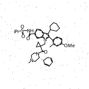 COc1ccc(-c2c(C3CCCCC3)c3ccc(C(=O)NS(=O)(=O)C(C)C)cc3n2CC2(C(=O)N3CCN(C)C[C@H]3C3C=CC=CC3)CC2)c(C)c1